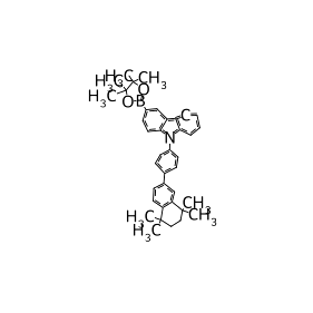 CC1(C)CCC(C)(C)c2cc(-c3ccc(-n4c5ccccc5c5cc(B6OC(C)(C)C(C)(C)O6)ccc54)cc3)ccc21